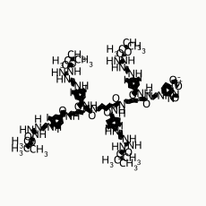 CC(C)(C)OC(=O)NC(=N)NCCNc1c(I)cc(C(=O)NCCCC[C@H](NC(=O)c2cc(I)c(NCCNC(=N)NC(=O)OC(C)(C)C)c(I)c2)C(=O)NCCCC[C@H](NC(=O)c2cc(I)c(NCCNC(=N)NC(=O)OC(C)(C)C)c(I)c2)C(=O)NCCCC[C@H](NC(=O)c2cc(I)c(NCCNC(=N)NC(=O)OC(C)(C)C)c(I)c2)C(=O)NCCNc2ccc([N+](=O)[O-])c3nonc23)cc1I